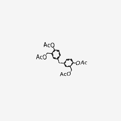 CC(=O)OCc1cc(Cc2ccc(OC(C)=O)c(COC(C)=O)c2)ccc1OC(C)=O